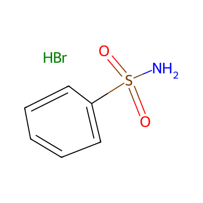 Br.NS(=O)(=O)c1ccccc1